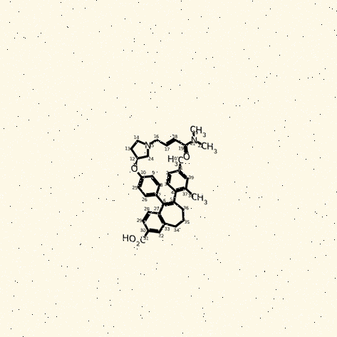 Cc1ccc(C2=C(c3ccc(O[C@H]4CCN(C/C=C/C(=O)N(C)C)C4)cc3)c3ccc(C(=O)O)cc3CCC2)c(C)c1